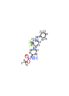 CC(C)(C)OC(=O)NC1CCN(C2CCN(Cc3ccccc3)CC2(F)F)CC1